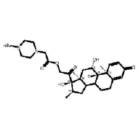 CCCCN1CCN(CC(=O)OCC(=O)[C@@]2(O)[C@H](C)CC3C4CCC5=CC(=O)C=C[C@]5(C)[C@@]4(F)[C@@H](O)C[C@@]32C)CC1